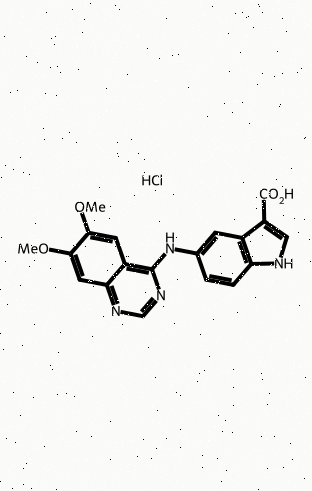 COc1cc2ncnc(Nc3ccc4[nH]cc(C(=O)O)c4c3)c2cc1OC.Cl